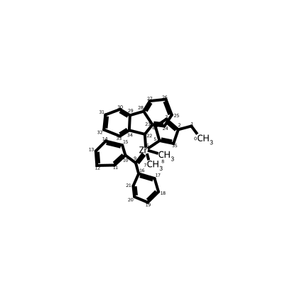 CCC1=CC[C]([Zr]([CH3])([CH3])(=[C](c2ccccc2)c2ccccc2)[CH]2c3ccccc3-c3ccccc32)=C1